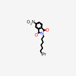 CC(C)CCCCCCN1C(=O)c2ccc([N+](=O)[O-])cc2C1=O